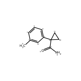 Cc1cccc(C2(C(N)=O)CC2)c1